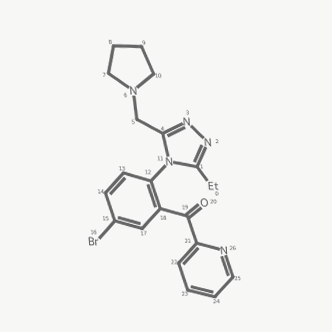 CCc1nnc(CN2CCCC2)n1-c1ccc(Br)cc1C(=O)c1ccccn1